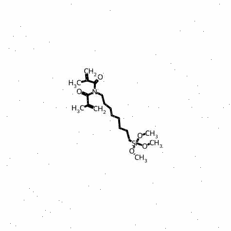 C=C(C)C(=O)N(CCCCCCCC[Si](OC)(OC)OC)C(=O)C(=C)C